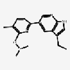 CCc1c[nH]c2ncc(-c3ccc(C)c(OP(C)C)n3)cc12